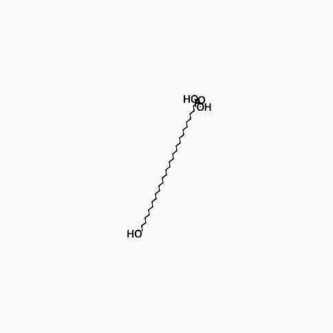 O=P(O)(O)CCCCCCCCCCCCCCCCCCCCCCCCCCCCCCCCO